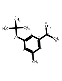 Cc1cc(OC(C)(C)C)cc(C(C)C)c1